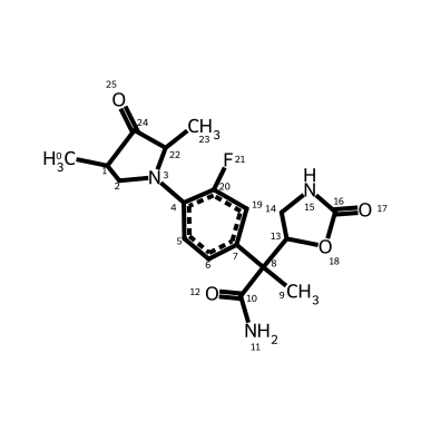 CC1CN(c2ccc(C(C)(C(N)=O)C3CNC(=O)O3)cc2F)C(C)C1=O